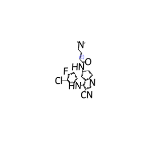 CN(C)C/C=C/C(=O)Nc1ccc2ncc(C#N)c(Nc3ccc(F)c(Cl)c3)c2c1